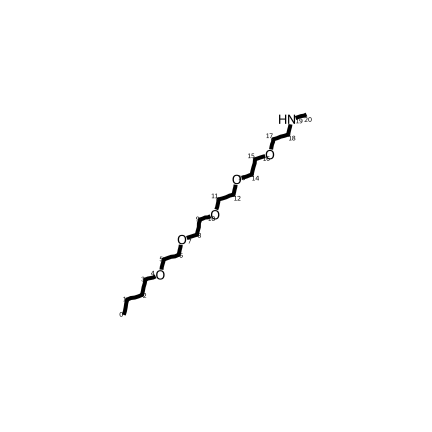 CCCCOCCOCCOCCOCCOCCNC